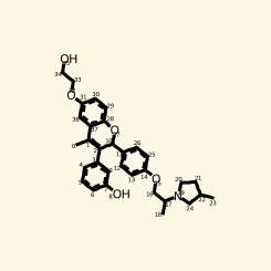 CC1=C(c2cccc(O)c2)C(c2ccc(OCC(C)N3CCC(C)C3)cc2)Oc2ccc(OCCO)cc21